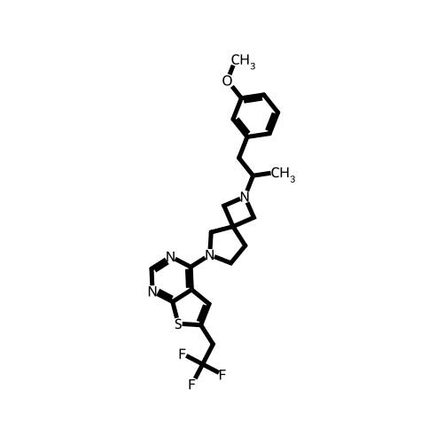 COc1cccc(CC(C)N2CC3(CCN(c4ncnc5sc(CC(F)(F)F)cc45)C3)C2)c1